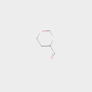 O=CC1CCOCS1